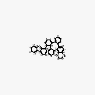 c1ccc2c(c1)-c1cccc(-c3cccc4c3sc3ccccc34)c1-c1ccccc1-c1c-2ccc2nccnc12